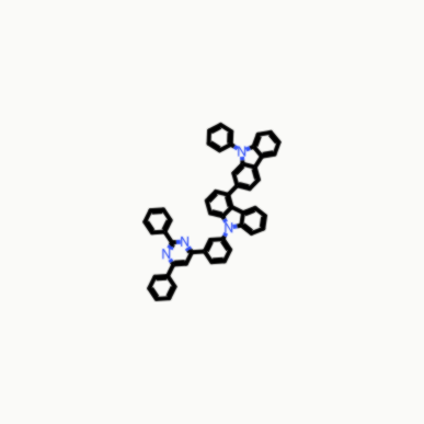 c1ccc(-c2cc(-c3cccc(-n4c5ccccc5c5c(-c6ccc7c8ccccc8n(-c8ccccc8)c7c6)cccc54)c3)nc(-c3ccccc3)n2)cc1